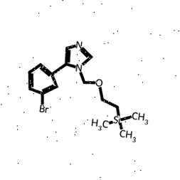 C[Si](C)(C)CCOCn1cncc1-c1cccc(Br)c1